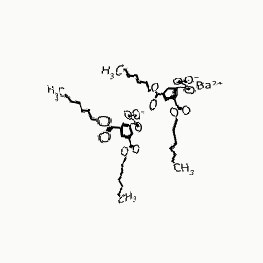 CCCCCCCOC(=O)c1cc(C(=O)OCCCCCCC)cc(S(=O)(=O)[O-])c1.CCCCCCCOC(=O)c1cc(C(=O)OCCCCCCC)cc(S(=O)(=O)[O-])c1.[Ba+2]